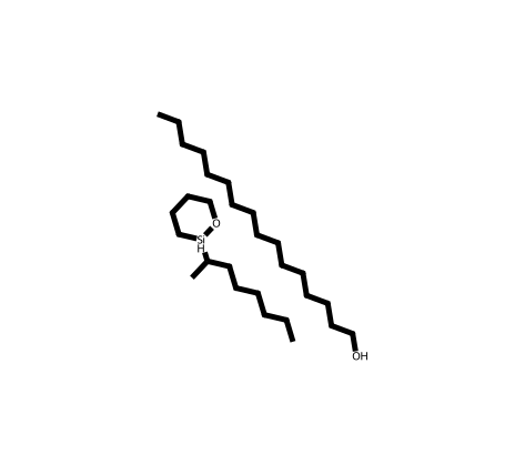 CCCCCCC(C)[SiH]1CCCCO1.CCCCCCCCCCCCCCCCO